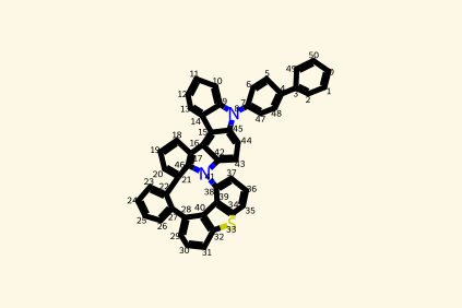 c1ccc(-c2ccc(-n3c4ccccc4c4c5c6cccc7c8ccccc8c8cccc9sc%10cccc(c%10c98)n(c5ccc43)c76)cc2)cc1